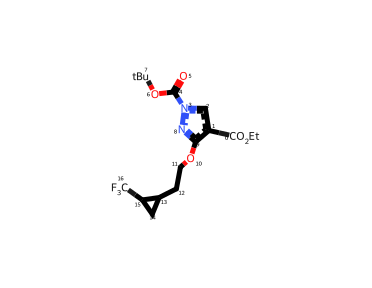 CCOC(=O)c1cn(C(=O)OC(C)(C)C)nc1OCCC1CC1C(F)(F)F